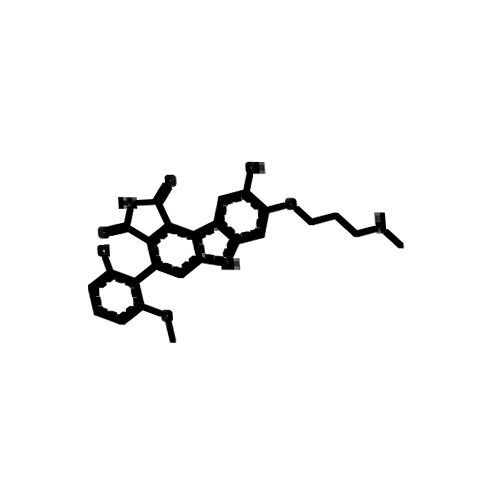 CNCCCOc1cc2[nH]c3cc(-c4c(Cl)cccc4OC)c4c(c3c2cc1O)C(=O)NC4=O